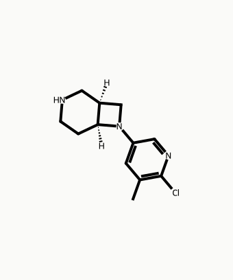 Cc1cc(N2C[C@@H]3CNCC[C@@H]32)cnc1Cl